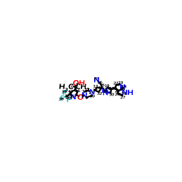 CC(C)(O)c1cc(ON2CCN([C@H]3C[C@](CC#N)(n4cc(-c5ccnc6[nH]ccc56)cn4)C3)CC2)nc(C(F)(F)F)c1